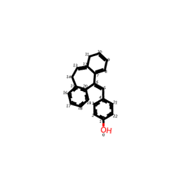 Oc1ccc(C=C2C3=CC=CCC3=CCc3ccccc32)cc1